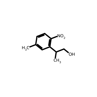 Cc1ccc([N+](=O)[O-])c(C(C)CO)c1